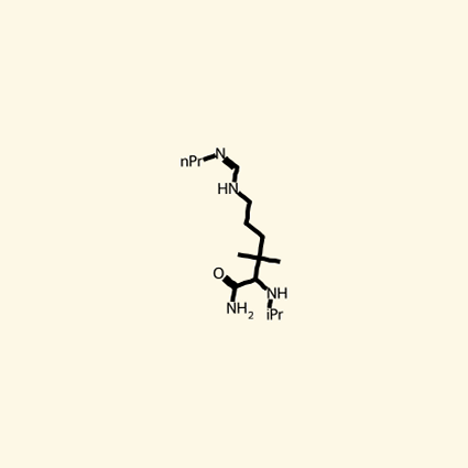 CCC/N=C\NCCCC(C)(C)C(NC(C)C)C(N)=O